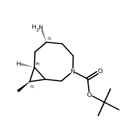 C[C@@H]1C2CN(C(=O)OC(C)(C)C)CC[C@@H](N)C[C@@H]21